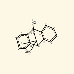 CC1(C=O)CC2(N=O)c3ccccc3C1c1ccccc12